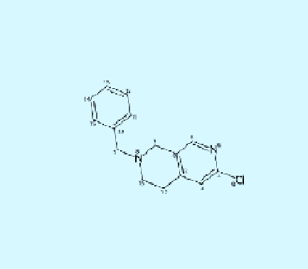 Clc1cc2c(cn1)CN(Cc1ccccc1)CC2